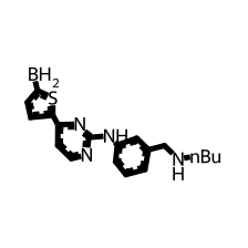 Bc1ccc(-c2ccnc(Nc3cccc(CNCCCC)c3)n2)s1